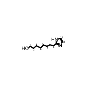 OCCCCCCCCc1ncc[nH]1